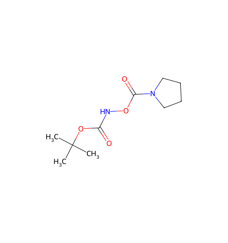 CC(C)(C)OC(=O)NOC(=O)N1CCCC1